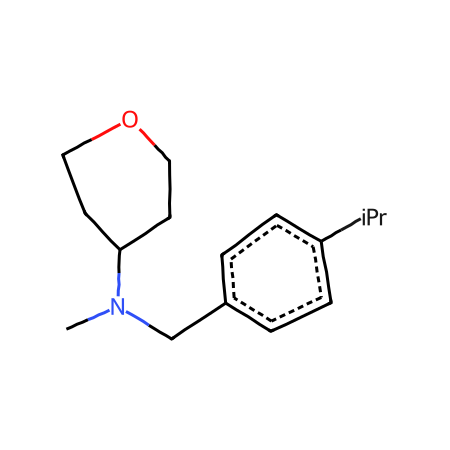 CC(C)c1ccc(CN(C)C2CCOCC2)cc1